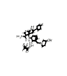 CCc1c(CN2CCC(O)C2)cccc1Nc1c(C(N)=O)cnc2[nH]c(-c3ccc(F)cc3)cc12.O=C(O)C(F)(F)F